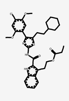 CCC(=O)OCCc1c(C(=O)Nc2nc(-c3cc(OC)c(Cl)cc3OC)c(CCC3CCCCC3)s2)[nH]c2ccccc12